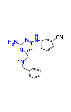 CN(Cc1ccccc1)Cc1cc(Nc2cccc(C#N)c2)nc(N)n1